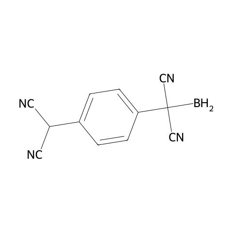 BC(C#N)(C#N)c1ccc(C(C#N)C#N)cc1